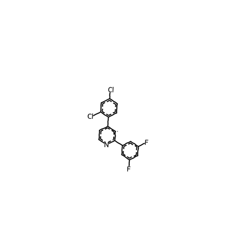 Fc1cc(F)cc(-c2[c]c(-c3ccc(Cl)cc3Cl)ccn2)c1